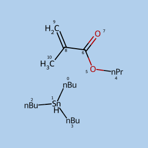 CCC[CH2][SnH]([CH2]CCC)[CH2]CCC.[CH2]CCOC(=O)C(=C)C